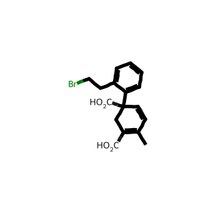 CC1=C(C(=O)O)CC(C(=O)O)(c2ccccc2CCBr)C=C1